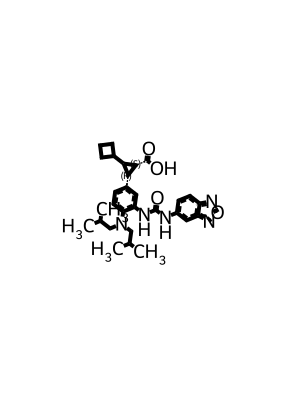 CC(C)CN(CC(C)C)c1ccc([C@@H]2C(C3CCC3)[C@@H]2C(=O)O)cc1NC(=O)Nc1ccc2nonc2c1